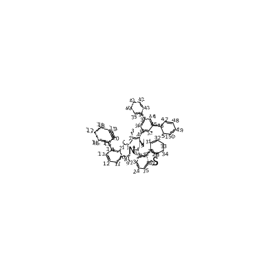 CC\C(C)=C(/N=C(\N=C(/C)c1cccc(C2=CCCC#C2)c1)c1cccc2sc3c(c12)C=CCC3)c1cc(C2=CCCC=C2)cc([C@H]2C=CC=CC2)c1